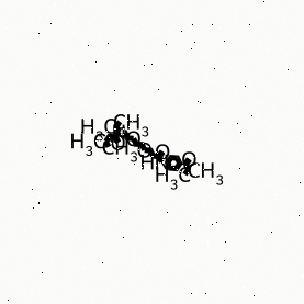 CC(C)CC(=O)N(CCOCCOCCC(=O)N[C@H]1CC[C@@H](C(=O)C(C)C)CC1)C(C)C